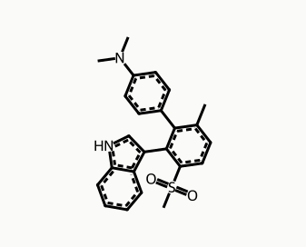 Cc1ccc(S(C)(=O)=O)c(-c2c[nH]c3ccccc23)c1-c1ccc(N(C)C)cc1